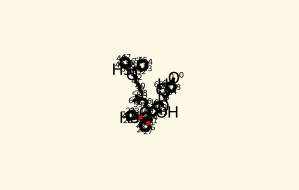 COc1ccc(CNC(=O)CC2C(O)CC(O[SiH](c3ccccc3)c3ccccc3)(C(C)(C)C)C2C=C[C@H](CCCCCO[SiH](c2ccccc2)c2ccccc2)C(C)(C)C)c(OC)c1